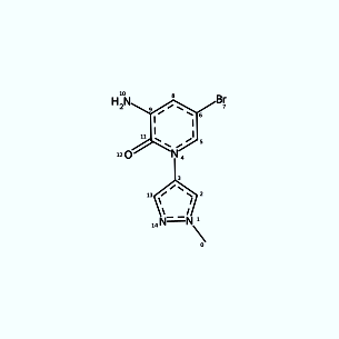 Cn1cc(-n2cc(Br)cc(N)c2=O)cn1